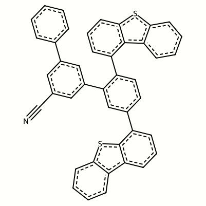 N#Cc1cc(-c2ccccc2)cc(-c2cc(-c3cccc4c3sc3ccccc34)ccc2-c2cccc3sc4ccccc4c23)c1